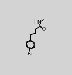 CNC(=O)CCCc1ccc(Br)cc1